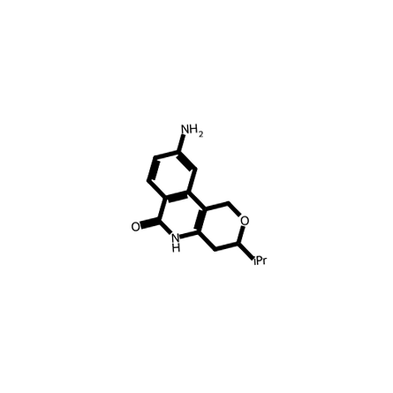 CC(C)C1Cc2[nH]c(=O)c3ccc(N)cc3c2CO1